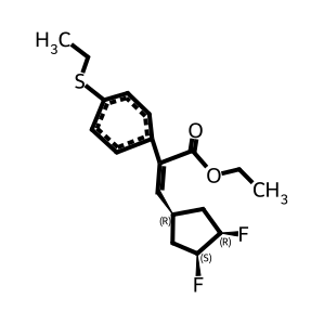 CCOC(=O)C(=C[C@H]1C[C@@H](F)[C@@H](F)C1)c1ccc(SCC)cc1